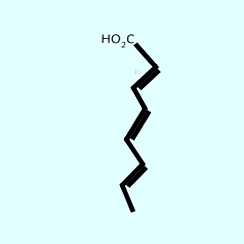 CC=CC=C/C=C/C(=O)O